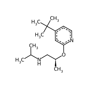 CC(C)NC[C@H](C)Oc1cc(C(C)(C)C)ccn1